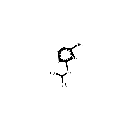 CC(C)Oc1cccc(N)n1